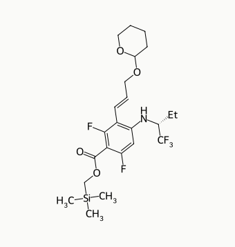 CC[C@@H](Nc1cc(F)c(C(=O)OC[Si](C)(C)C)c(F)c1/C=C/COC1CCCCO1)C(F)(F)F